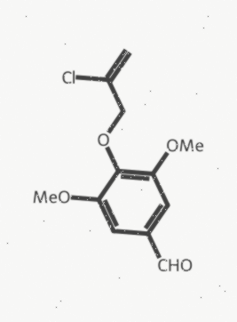 C=C(Cl)COc1c(OC)cc(C=O)cc1OC